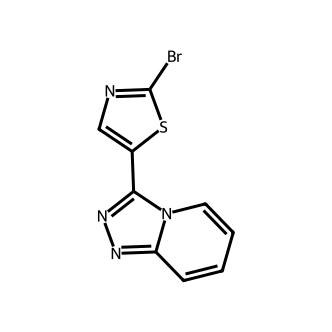 Brc1ncc(-c2nnc3ccccn23)s1